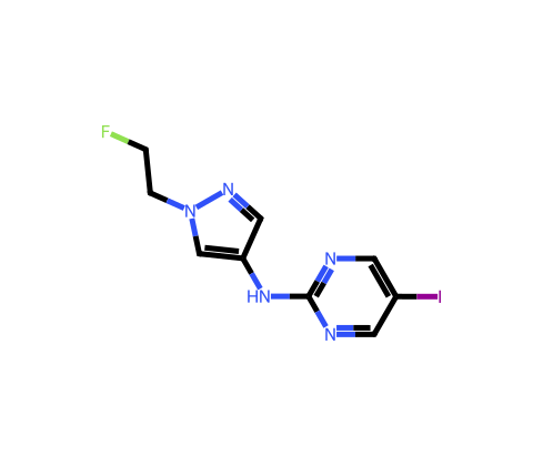 FCCn1cc(Nc2ncc(I)cn2)cn1